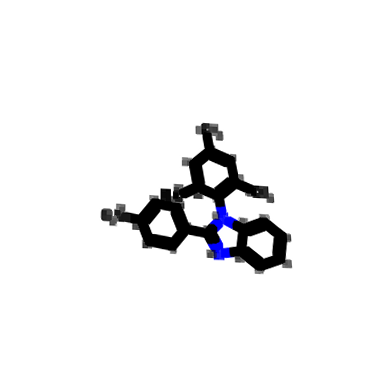 Cc1cc(C)c(-n2c(-c3ccc([N+](=O)[O-])cc3)nc3ccccc32)c(C)c1